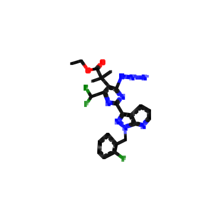 CCOC(=O)C(C)(C)c1c(N=[N+]=[N-])nc(-c2nn(Cc3ccccc3F)c3ncccc23)nc1C(F)F